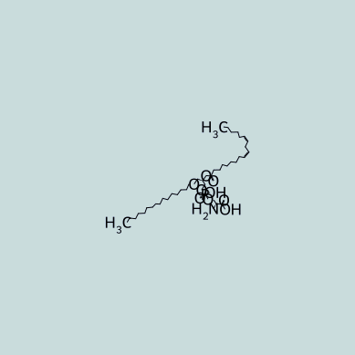 CCCCC/C=C\C/C=C\CCCCCCCC(=O)O[C@H](COCCCCCCCCCCCCCCCC)COP(=O)(O)OC[C@H](N)C(=O)O